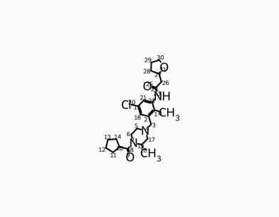 Cc1c(CN2CCN(C(=O)C3CCCC3)C(C)C2)cc(Cl)cc1NC(=O)CC1CCCO1